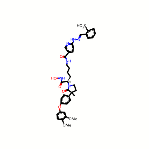 COc1ccc(Oc2ccc(C3(C)CCN([C@H](CCCCNC(=O)c4ccc(NN=Cc5ccccc5S(=O)(=O)O)nc4)C(=O)NO)C3=O)cc2)cc1OC